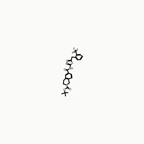 CC(C)(C)OC(=O)N1CCc2cc(C(=O)Nc3nnc(Cc4ccccc4C(F)(F)F)s3)ccc2C1